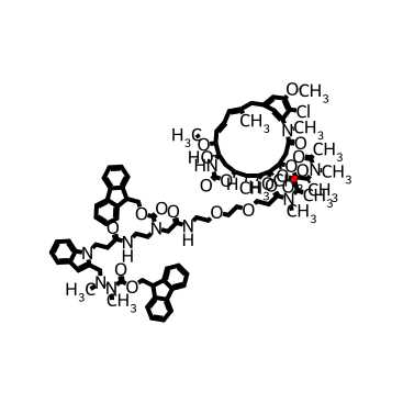 COc1cc2cc(c1Cl)N(C)C(=O)C[C@](OC(=O)C(C)N(C)C(=O)CCOCCOCCNC(=O)CN(CCNC(=O)CCn1c(CN(C)N(C)C(=O)OCC3c4ccccc4-c4ccccc43)cc3ccccc31)C(=O)OCC1c3ccccc3-c3ccccc31)(OC(=O)[C@H](C)N(C)C(C)=O)[C@]1(C)O[C@H]1[C@H](C)[C@@H]1C[C@@](O)(NC(=O)O1)C(OC)/C=C/C=C(\C)C2